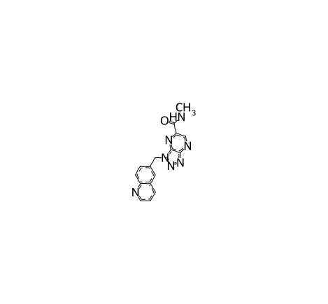 CNC(=O)c1cnc2nnn(Cc3ccc4ncccc4c3)c2n1